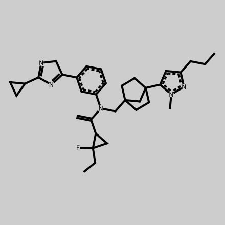 C=C(C1CC1(F)CC)N(CC12CCC(c3cc(CCC)nn3C)(CC1)C2)c1cccc(C2=NC(C3CC3)=NC2)c1